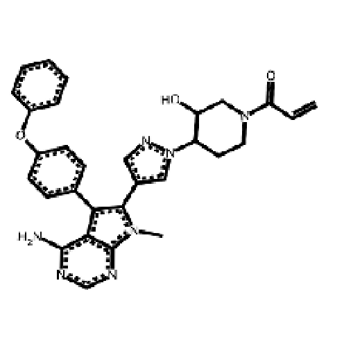 C=CC(=O)N1CCC(n2cc(-c3c(-c4ccc(Oc5ccccc5)cc4)c4c(N)ncnc4n3C)cn2)C(O)C1